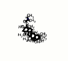 C=CCC1[C@@]2(C=C)CC[C@H](O)[C@](C)(COC(=O)/C(C)=C/C)C2CC[C@@]1(C)[C@@]1(C)CC2CC(C)(C)[C@@H](O)[C@H](O)[C@]2(COC(C)=O)[C@H](O)C1